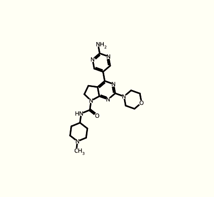 CN1CCC(NC(=O)N2CCc3c(-c4cnc(N)nc4)nc(N4CCOCC4)nc32)CC1